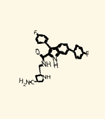 NC[C@@H]1CN[C@H](CNC(=O)c2[nH]c3cc(-c4ccc(F)cc4)ccc3c2-c2ccc(F)cc2)C1